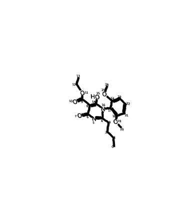 CCCCc1nc(=O)c(C(=O)OCC)c(O)n1-c1c(OC)cccc1OC